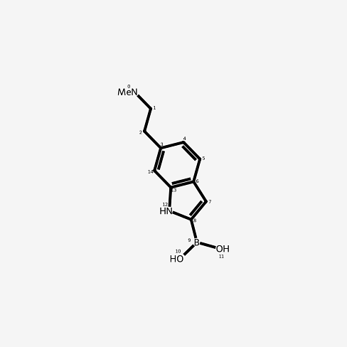 CNCCc1ccc2cc(B(O)O)[nH]c2c1